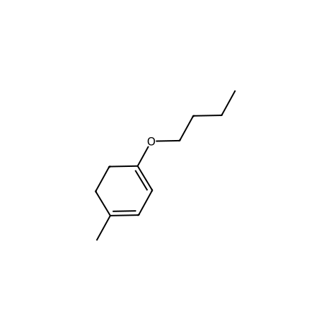 CCCCOC1=CC=C(C)CC1